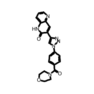 O=C(c1ccc(-n2cc(-c3cc4ncccc4[nH]c3=O)nn2)cc1)N1CCOCC1